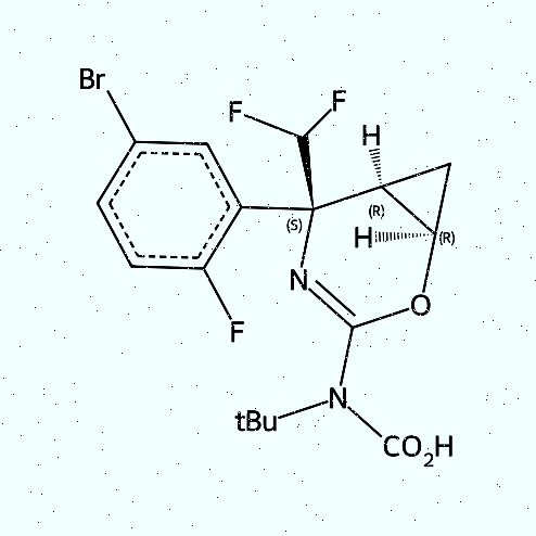 CC(C)(C)N(C(=O)O)C1=N[C@@](c2cc(Br)ccc2F)(C(F)F)[C@H]2C[C@H]2O1